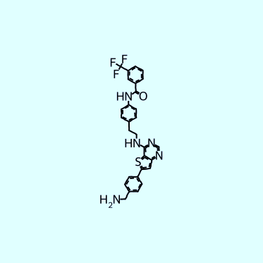 NCc1ccc(-c2cc3ncnc(NCCc4ccc(NC(=O)c5cccc(C(F)(F)F)c5)cc4)c3s2)cc1